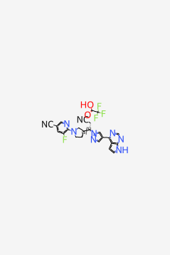 N#CC[C@@H]([C@H]1CCN(c2ncc(C#N)cc2F)C1)n1cc(-c2ncnc3[nH]ccc23)cn1.O=C(O)C(F)(F)F